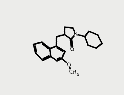 COc1cc(CC2CCN(C3CCCCC3)C2=O)c2ccccc2c1